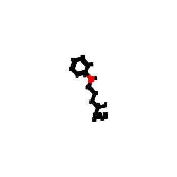 CC(CCCOc1ccccc1)C(=O)O